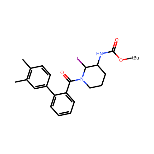 Cc1ccc(-c2ccccc2C(=O)N2CCCC(NC(=O)OC(C)(C)C)C2I)cc1C